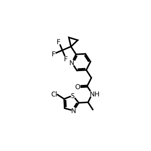 CC(NC(=O)Cc1ccc(C2(C(F)(F)F)CC2)nc1)c1ncc(Cl)s1